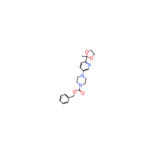 CC1(c2ccc(N3CCN(C(=O)OCc4ccccc4)CC3)cn2)OCCO1